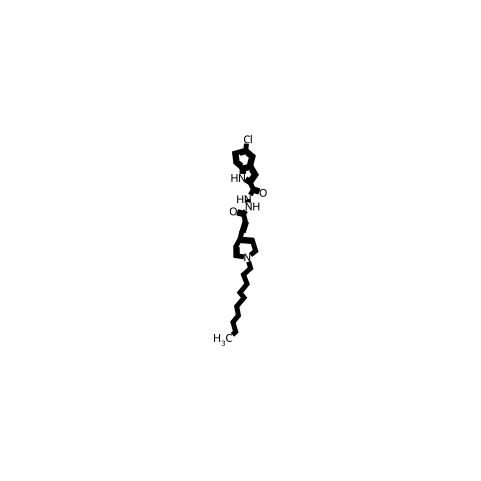 CCCCCCCCCCN1C=CC(/C=C/C(=O)NNC(=O)c2cc3cc(Cl)ccc3[nH]2)=CC1